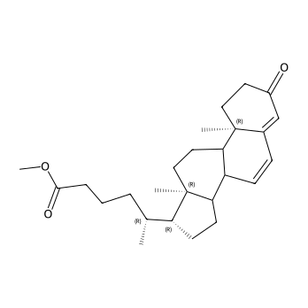 COC(=O)CCC[C@@H](C)[C@H]1CCC2C3C=CC4=CC(=O)CC[C@]4(C)C3CC[C@@]21C